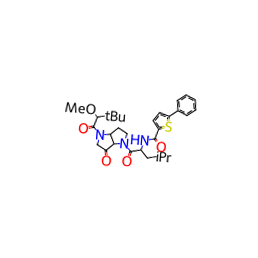 COC(C(=O)N1CC(=O)C2C1CCN2C(=O)C(CC(C)C)NC(=O)c1ccc(-c2ccccc2)s1)C(C)(C)C